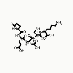 NCCCC[C@H](NC(=O)[C@H](CS)NC(=O)[C@H](CC(=O)O)NC(=O)[C@H](CCC(=O)O)NC(=O)[C@@H]1CCC(=O)N1)C(=O)O